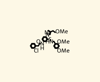 COCCc1cnn(-c2ccc(NC(=O)Cc3ccccc3Cl)cc2SNCc2ccc(OC)cc2OC)c1